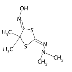 CN(C)N=C1SC(=NO)C(C)(C)S1